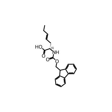 CCC=CC[C@H](NC(=O)OCC1c2ccccc2-c2ccccc21)C(=O)O